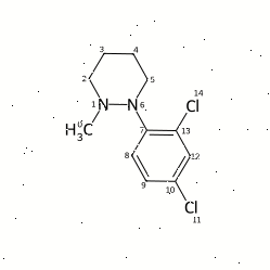 CN1CCCCN1c1ccc(Cl)cc1Cl